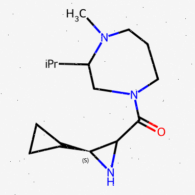 CC(C)C1CN(C(=O)C2N[C@H]2C2CC2)CCCN1C